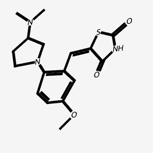 COc1ccc(N2CCC(N(C)C)C2)c(C=C2SC(=O)NC2=O)c1